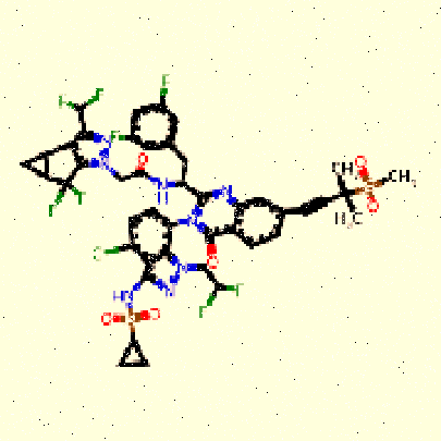 CC(C)(C#Cc1ccc2c(=O)n(-c3ccc(Cl)c4c(NS(=O)(=O)C5CC5)nn(CC(F)F)c34)c([C@H](Cc3cc(F)cc(F)c3)NC(=O)Cn3nc(C(F)F)c4c3C(F)(F)C3CC43)nc2c1)S(C)(=O)=O